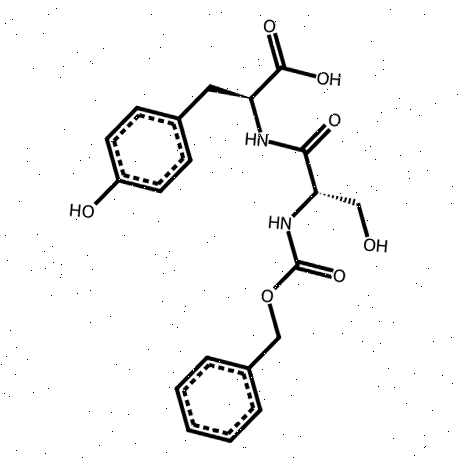 O=C(N[C@@H](CO)C(=O)N[C@@H](Cc1ccc(O)cc1)C(=O)O)OCc1ccccc1